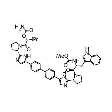 COC(=O)N[C@@H](Cc1c[nH]c2ccccc12)C(=O)N1CCC[C@H]1c1ncc(-c2ccc(-c3ccc(-c4cnc([C@@H]5CCCN5C(=O)[C@@H](OC(N)=O)C(C)C)[nH]4)cc3)cc2)[nH]1